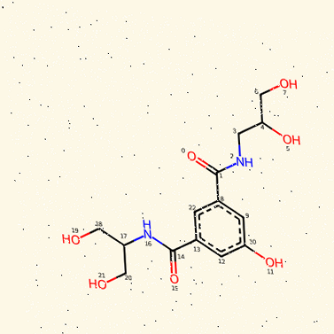 O=C(NCC(O)CO)c1cc(O)cc(C(=O)NC(CO)CO)c1